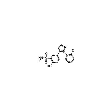 CNS(=O)(=O)c1cc(-c2ccnn2-c2ccccc2Cl)ccc1O